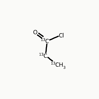 [13CH3][13CH2][13C](=O)Cl